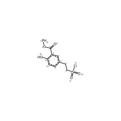 O=C(OP)c1cc(CCS(=O)(=O)Cl)ccc1O